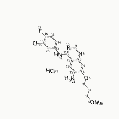 COCCCOc1cc2ncnc(Nc3ccc(F)c(Cl)c3)c2cc1N.Cl